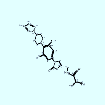 O=C1O[C@@H](CNC(=S)C(F)F)CN1c1cc(F)c(N2CCC(n3cnnn3)CC2)c(F)c1